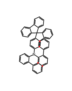 c1ccc(-c2ccccc2N(c2ccc3c(c2)-c2ccccc2C32c3ccccc3-c3ccccc32)c2ccccc2-c2ccccc2)cc1